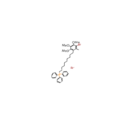 COc1c(Br)c(C)c(CCCCCCCCCC[P+](c2ccccc2)(c2ccccc2)c2ccccc2)c(OC)c1OC.[Br-]